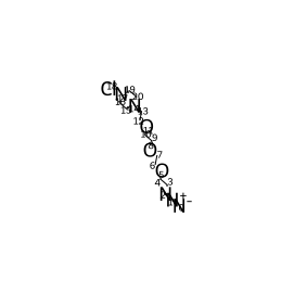 [N-]=[N+]=NCCOCCOCCOCCN1CCN(Cl)CC1